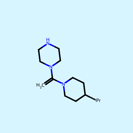 C=C(N1CCNCC1)N1CCC(C(C)C)CC1